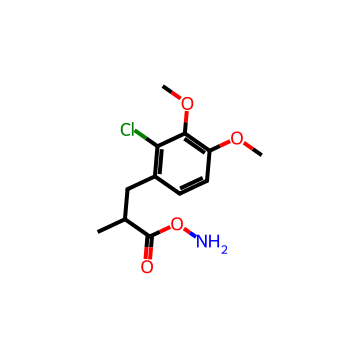 COc1ccc(CC(C)C(=O)ON)c(Cl)c1OC